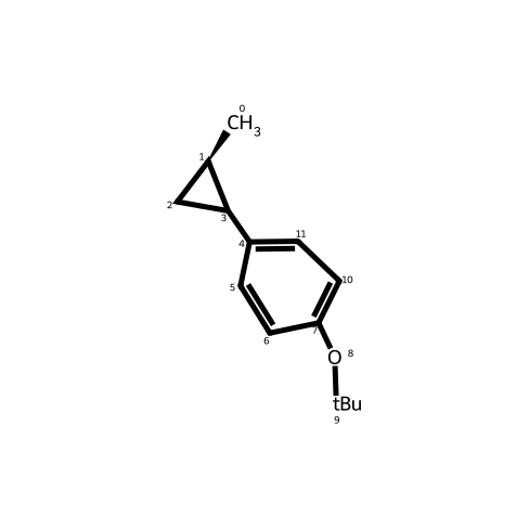 C[C@@H]1CC1c1ccc(OC(C)(C)C)cc1